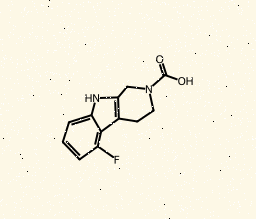 O=C(O)N1CCc2c([nH]c3cccc(F)c23)C1